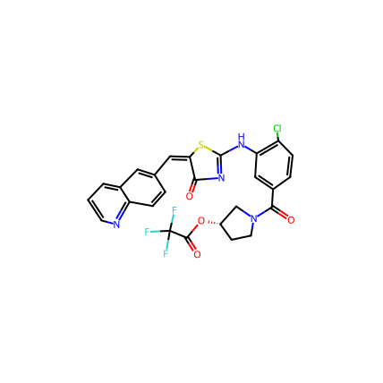 O=C1N=C(Nc2cc(C(=O)N3CC[C@H](OC(=O)C(F)(F)F)C3)ccc2Cl)SC1=Cc1ccc2ncccc2c1